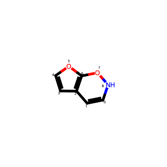 C1=Cc2ccoc2ON1